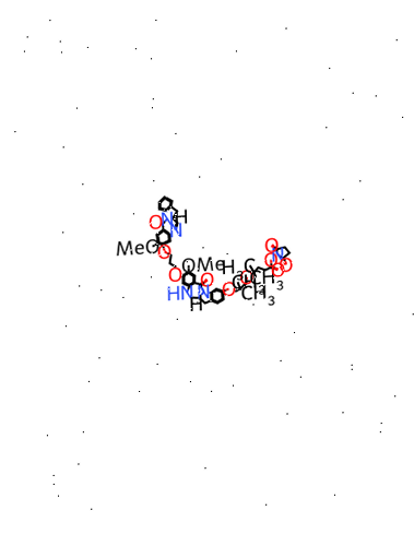 COc1cc2c(cc1OCCCOc1cc3c(cc1OC)C(=O)N1c4cc(OCC(C)(C)COC(C)(C)CCC(=O)ON5C(=O)CCC5=O)ccc4C[C@H]1CN3)N=C[C@@H]1Cc3ccccc3N1C2=O